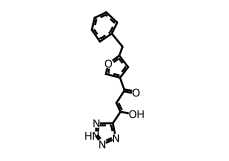 O=C(C=C(O)c1nn[nH]n1)c1coc(Cc2ccccc2)c1